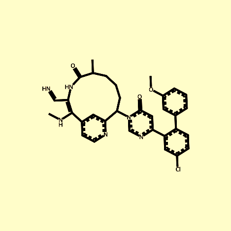 CN/C1=C(\C=N)NC(=O)C(C)CCCC(n2cnc(-c3cc(Cl)ccc3-c3cccc(OC)c3)cc2=O)c2cc1ccn2